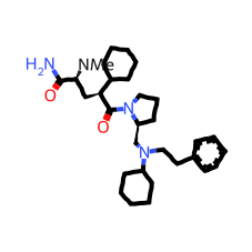 CN[C@@H](C[C@H](C(=O)N1CCC[C@H]1CN(CCc1ccccc1)C1CCCCC1)C1CCCCC1)C(N)=O